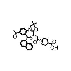 CC(=O)c1ccc2c(c1)[C@H](c1cccc3ccccc13)S[C@@H](CC(=O)N1CCC(C(=O)O)CC1)C(=O)N2CC(C)(C)C